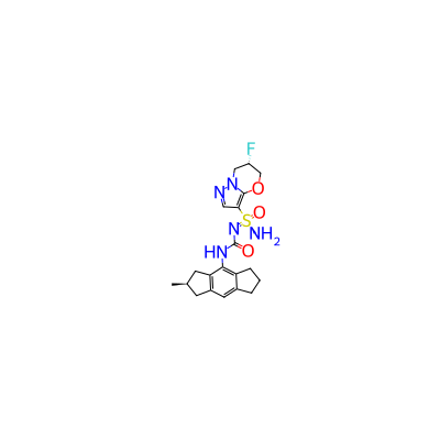 C[C@@H]1Cc2cc3c(c(NC(=O)N=[S@@](N)(=O)c4cnn5c4OC[C@@H](F)C5)c2C1)CCC3